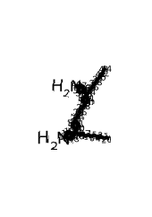 CCCCCCCCCCCC(c1ccc(N)cc1)c1ccc(CCCCCCc2ccc(C(CCCCCCCCCCC)c3ccc(N)cc3)cc2)cc1